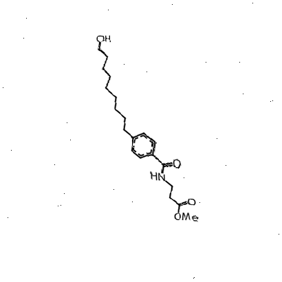 COC(=O)CCNC(=O)c1ccc(CCCCCCCCCO)cc1